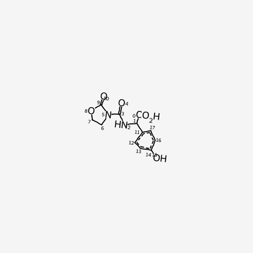 O=C(O)C(NC(=O)N1CCOC1=O)c1ccc(O)cc1